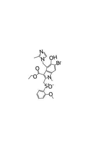 CCOC(=O)c1c(C[S+]([O-])c2ccccc2OC)n(C)c2cc(Br)c(O)c(Cn3ccnc3C)c12